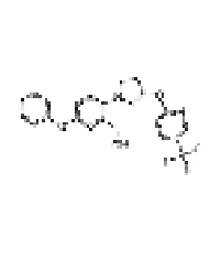 OCc1nc(Oc2ccccc2)ccc1N1CC[C@H](Oc2ccc(C(F)(F)F)cn2)C1